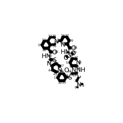 CN(C)CC[C@H](CSc1ccccc1)Nc1ncc(S(=O)(=O)NC(=O)c2cccc(N3CCc4cccc(C(=O)Nc5nc6ccncc6s5)c4C3)n2)cc1[N+](=O)[O-]